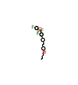 C=CCCCOC1CCC(/C=C/C2CCC(c3ccc(C(F)(F)Oc4ccc(F)cc4)c(F)c3)CC2)CC1